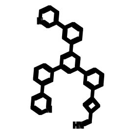 N=CC1C=C(c2cccc(-c3cc(-c4cccc(-c5cccnc5)c4)cc(-c4cccc(-c5cccnc5)c4)c3)c2)C1